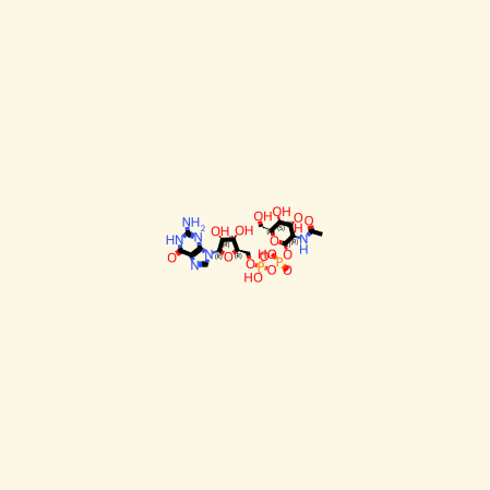 CC(=O)N[C@H]1[C@@H](OP(=O)(O)OP(=O)(O)OC[C@H]2O[C@@H](n3cnc4c(=O)[nH]c(N)nc43)[C@H](O)[C@@H]2O)O[C@H](CO)[C@@H](O)[C@@H]1O